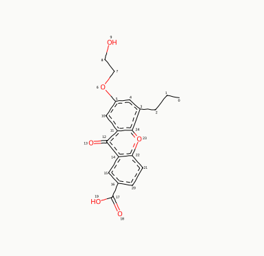 CCCc1cc(OCCO)cc2c(=O)c3cc(C(=O)O)ccc3oc12